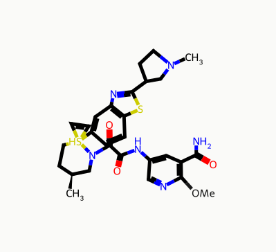 COc1ncc(NC(=O)C(=O)N2C[C@@H](C)CC[SH]23(c2ccc4sc(C5CCN(C)C5)nc4c2)C=C3)cc1C(N)=O